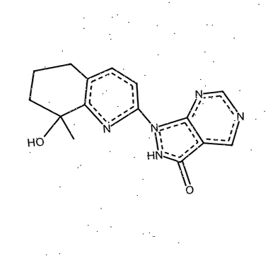 CC1(O)CCCc2ccc(-n3[nH]c(=O)c4cncnc43)nc21